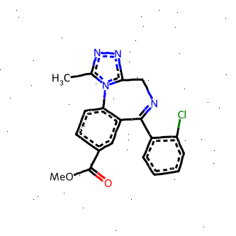 COC(=O)c1ccc2c(c1)C(c1ccccc1Cl)=NCc1nnc(C)n1-2